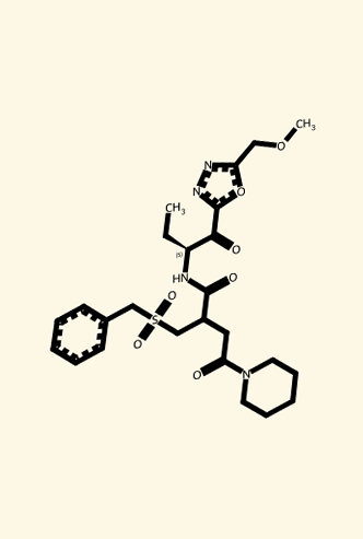 CC[C@H](NC(=O)C(CC(=O)N1CCCCC1)CS(=O)(=O)Cc1ccccc1)C(=O)c1nnc(COC)o1